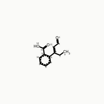 CCC(=CC=O)c1ccccc1C(=O)O